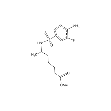 COC(=O)CCCCC(C)NS(=O)(=O)c1ccc(N)c(F)c1